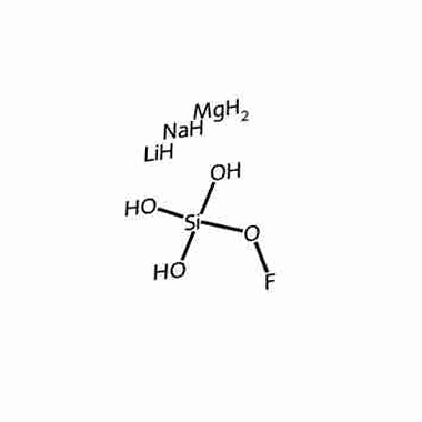 O[Si](O)(O)OF.[LiH].[MgH2].[NaH]